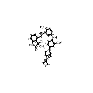 COc1cc(N2CC3CC2CN3C2COC2)ccc1Nc1ncc(C(F)(F)F)c(NCc2cccc3c2C(C)(C)C(=O)N3)n1